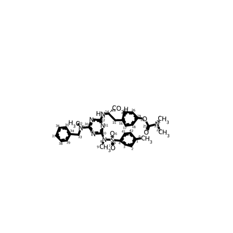 Cc1ccc(S(=O)(=O)N(C)c2nc(N[C@@H](Cc3ccc(OC(=O)N(C)C)cc3)C(=O)O)nc(N(C)Cc3ccccc3)n2)cc1